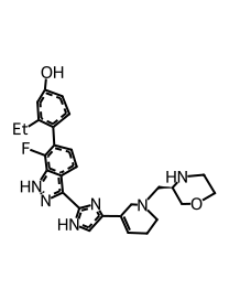 CCc1cc(O)ccc1-c1ccc2c(-c3nc(C4=CCCN(C[C@@H]5COCCN5)C4)c[nH]3)n[nH]c2c1F